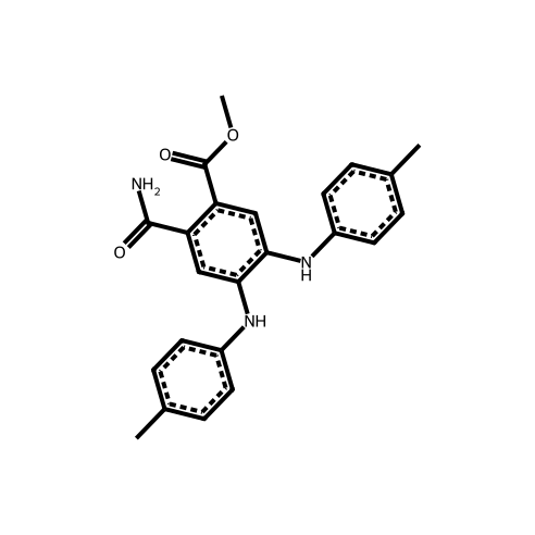 COC(=O)c1cc(Nc2ccc(C)cc2)c(Nc2ccc(C)cc2)cc1C(N)=O